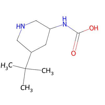 CC(C)(C)C1CNCC(NC(=O)O)C1